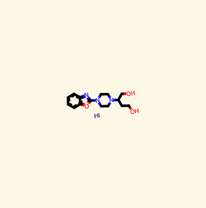 I.OCCC(CO)N1CCN(c2nc3ccccc3o2)CC1